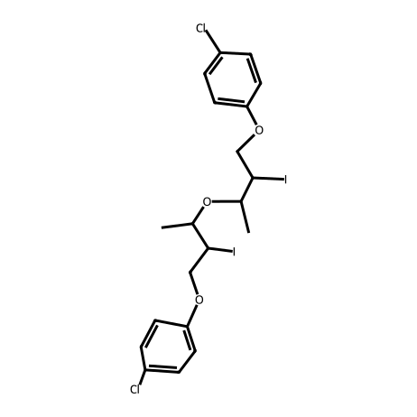 CC(OC(C)C(I)COc1ccc(Cl)cc1)C(I)COc1ccc(Cl)cc1